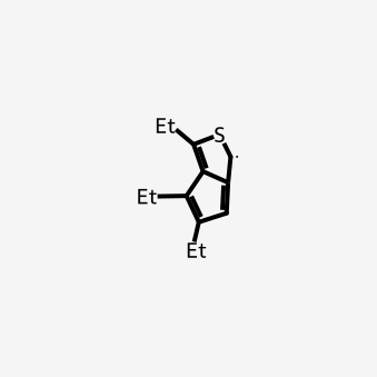 CCC1=C(CC)C2=C(CC)S[CH]C2=C1